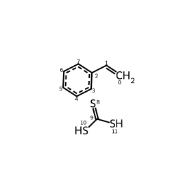 C=Cc1ccccc1.S=C(S)S